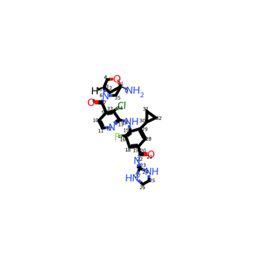 N[C@@]12C[C@@H](CO1)N(C(=O)c1ccnc(Nc3c(F)cc(C(=O)N=C4NCCN4)cc3C3CC3)c1Cl)C2